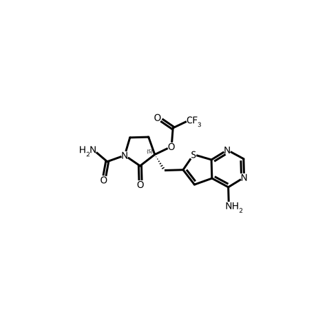 NC(=O)N1CC[C@@](Cc2cc3c(N)ncnc3s2)(OC(=O)C(F)(F)F)C1=O